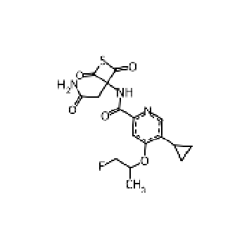 CC(CF)Oc1cc(C(=O)NC2(CC(N)=O)C(=O)SC2=O)ncc1C1CC1